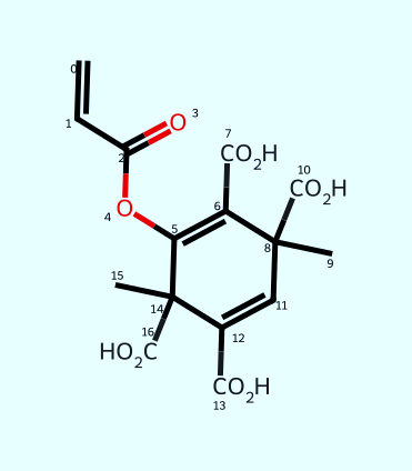 C=CC(=O)OC1=C(C(=O)O)C(C)(C(=O)O)C=C(C(=O)O)C1(C)C(=O)O